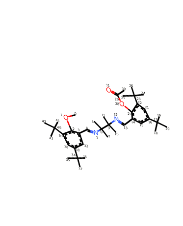 COc1c(/C=N/C(C)(C)C(C)(C)/N=C/c2cc(C(C)(C)C)cc(C(C)(C)C)c2OC(C)=O)cc(C(C)(C)C)cc1C(C)(C)C